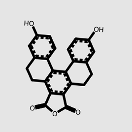 O=C1OC(=O)c2c3c(c4c(c21)CCc1cc(O)ccc1-4)-c1ccc(O)cc1CC3